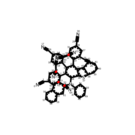 N#Cc1cc(C#N)c(-c2c(-c3c(C#N)cc(C#N)cc3C#N)c(-c3c(C#N)cc(C#N)cc3C#N)c3c(sc4ccccc43)c2N(c2ccccc2)c2ccc3ccccc3c2)c(C#N)c1